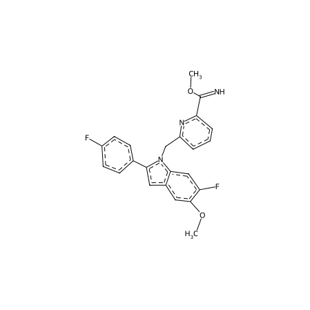 COC(=N)c1cccc(Cn2c(-c3ccc(F)cc3)cc3cc(OC)c(F)cc32)n1